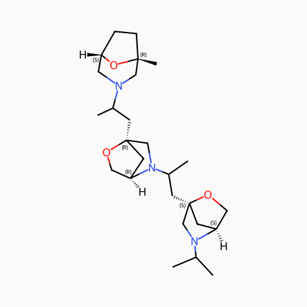 CC(C[C@]12C[C@H](CO1)N(C(C)C[C@@]13C[C@@H](CO1)N(C(C)C)C3)C2)N1C[C@@H]2CC[C@](C)(C1)O2